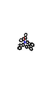 Cc1cc2c(cc1-c1cc3c(cc1N(c1ccc4c(c1)C(C)(C)c1ccccc1-4)c1cccc4c1CCCC4)C1(c4ccccc4-c4ccccc41)c1ccccc1-3)CCCC2